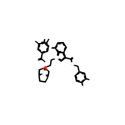 CC(C)Oc1cccc2c(C(=O)NCc3ccc(Cl)c(Cl)c3)cn(CCCN3[C@@H]4CC[C@H]3C[C@H](CC(=O)c3ccc(F)c(Cl)c3)C4)c12